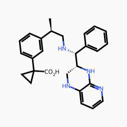 C[C@@H](CN[C@H](c1ccccc1)[C@H]1CNc2cccnc2N1)c1cccc(C2(C(=O)O)CC2)c1